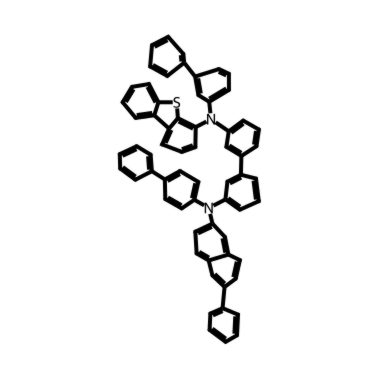 c1ccc(-c2ccc(N(c3cccc(-c4cccc(N(c5cccc(-c6ccccc6)c5)c5cccc6c5sc5ccccc56)c4)c3)c3ccc4cc(-c5ccccc5)ccc4c3)cc2)cc1